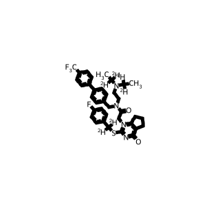 [2H]C([2H])(Sc1nc(=O)c2c(n1CC(=O)N(CCN(C([2H])([2H])C)C([2H])([2H])C)Cc1ccc(-c3ccc(C(F)(F)F)cc3)cc1)CCC2)c1ccc(F)cc1